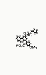 COc1ccc(-c2cc(C(=O)NCCCC3CCCC3)cc(-c3ccccc3F)c2OCC(=O)O)cc1